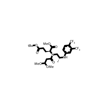 COC(=O)[C@H](CCC(=O)OC(C)(C)C)N(C[C@@H](C)Nc1ccc(C(F)(F)F)c(C(F)(F)F)c1)C(=O)CC(OC)OC